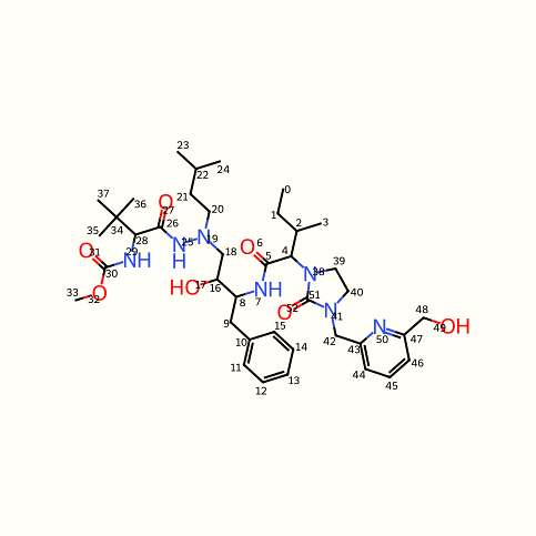 CCC(C)C(C(=O)NC(Cc1ccccc1)C(O)CN(CCC(C)C)NC(=O)C(NC(=O)OC)C(C)(C)C)N1CCN(Cc2cccc(CO)n2)C1=O